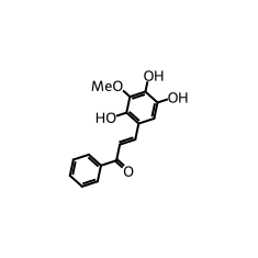 COc1c(O)c(O)cc(C=CC(=O)c2ccccc2)c1O